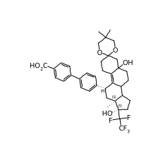 CC1(C)COC2(CCC3=C4C(CCC3(O)C2)C2CC[C@@](O)(C(F)(F)C(F)(F)F)[C@@]2(C)C[C@@H]4c2ccc(-c3ccc(C(=O)O)cc3)cc2)OC1